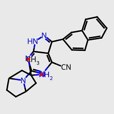 CC1(N)CC2CCC(C1)N2c1nc(C#N)c2c(-c3ccc4ccccc4c3)n[nH]c2n1